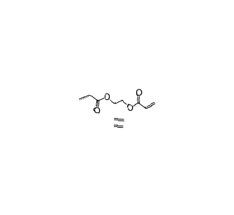 C=C.C=C.C=CC(=O)OCCOC(=O)C=C